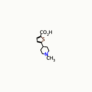 CN1CCC(c2ccc(C(=O)O)s2)CC1